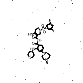 CN1CCCN(c2ccc(C(=O)Nc3n[nH]c4c3CN(S(=O)(=O)c3cc(F)cc(F)c3)CC4)c(NC3CCOCC3)c2)CC1